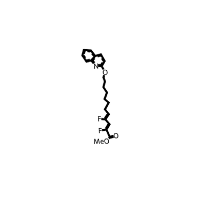 COC(=O)/C(F)=C/C(F)=C/CCCCCCCOc1ccc2ccccc2n1